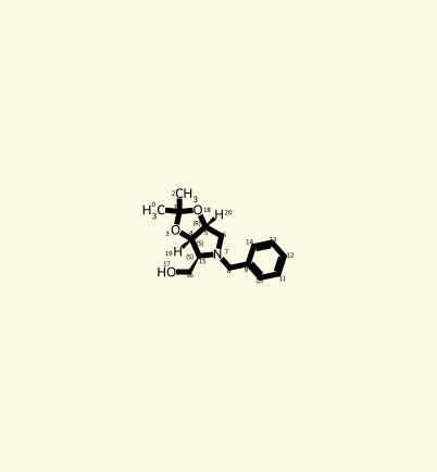 CC1(C)O[C@@H]2[C@@H](CN(Cc3ccccc3)[C@H]2CO)O1